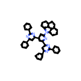 c1ccc(-c2cc(-c3cc(-c4cc(-c5ccccc5)nc(-c5ccccc5)n4)nc(-n4c5cccc6ccc7cccc4c7c65)c3)nc(-c3ccccc3)n2)cc1